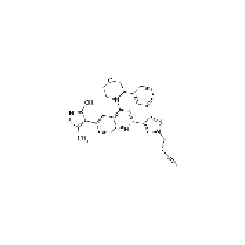 Cc1noc(C)c1-c1ccc2nc(-c3cnn(CCC#N)c3)nc(N3CCOCC3c3ccccc3)c2c1